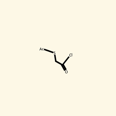 CC(=O)SCC(=O)Cl